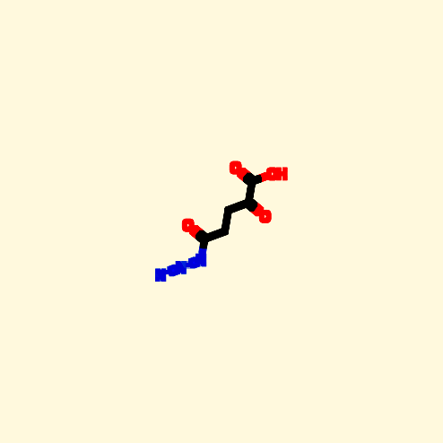 [N-]=[N+]=NC(=O)CCC(=O)C(=O)O